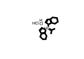 C[C](C)=[Hf]([CH]1C=CC2=C1CCCC2)[CH]1C=CC2=C1CCCC2.Cl.Cl